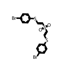 O=S(=O)(C=CSc1ccc(Br)cc1)C=CSc1ccc(Br)cc1